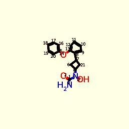 NC(=O)N(O)C1CC(c2ccccc2Oc2ccccc2)C1